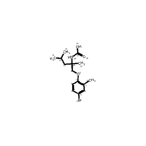 Cc1cc(Br)ccc1OCC(C)(CC(C)C)NC(=O)O